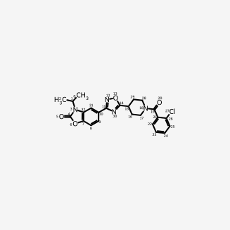 CC(C)n1c(=O)oc2ccc(-c3noc(C4CCN(C(=O)c5ccccc5Cl)CC4)n3)cc21